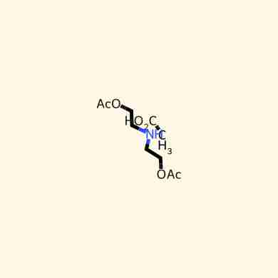 CC(=O)O.CC(=O)OCCNCCOC(C)=O